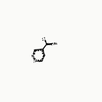 N=C(Cl)c1ccnnc1